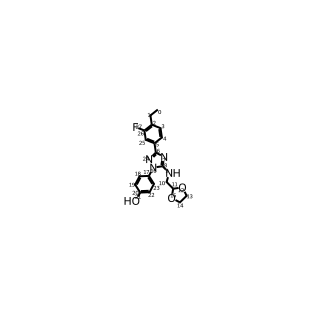 CCc1ccc(-c2nc(NCC3OCCO3)n(-c3ccc(O)cc3)n2)cc1F